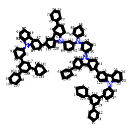 c1ccc(-c2cc(-c3ccccc3)cc(-c3cccc(-n4c5ccccc5c5cc(-c6ccc7c(c6)c6cc(-c8ccccc8)ccc6n7-c6cccc(N(c7ccccc7)c7cccc(-n8c9ccc(-c%10ccccc%10)cc9c9cc(-c%10ccc%11c(c%10)c%10ccccc%10n%11-c%10cccc(-c%11cc(-c%12ccccc%12)cc(-c%12ccccc%12)c%11)c%10)ccc98)c7)c6)ccc54)c3)c2)cc1